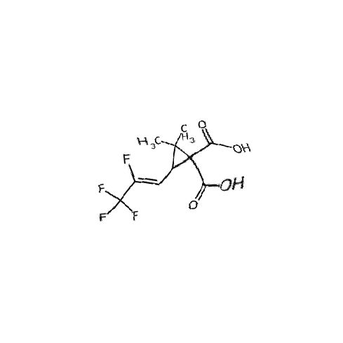 CC1(C)C(C=C(F)C(F)(F)F)C1(C(=O)O)C(=O)O